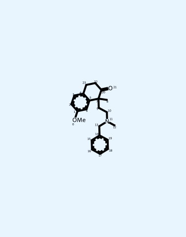 COc1ccc2c(c1)C(C)(CCN(C)Cc1ccccc1)C(=O)CC2